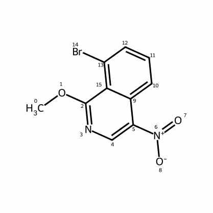 COc1ncc([N+](=O)[O-])c2cccc(Br)c12